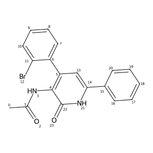 CC(=O)Nc1c(-c2ccccc2Br)cc(-c2ccccc2)[nH]c1=O